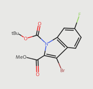 COC(=O)c1c(Br)c2ccc(F)cc2n1C(=O)OC(C)(C)C